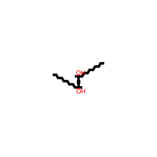 CCCCCCCCCC(C)(O)C#CC(C)(O)CCCCCCCCC